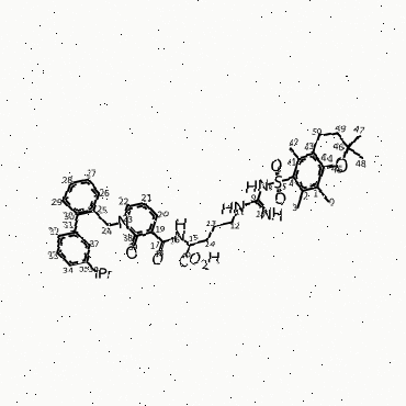 Cc1c(C)c(S(=O)(=O)NC(=N)NCCC[C@H](NC(=O)c2cccn(Cc3ccccc3-c3cccc(C(C)C)c3)c2=O)C(=O)O)c(C)c2c1OC(C)(C)CC2